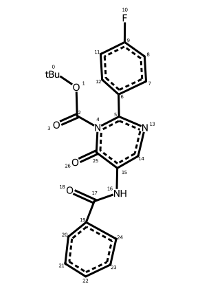 CC(C)(C)OC(=O)n1c(-c2ccc(F)cc2)ncc(NC(=O)c2ccccc2)c1=O